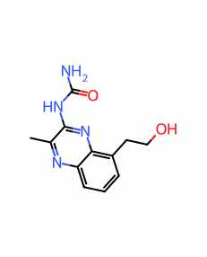 Cc1nc2cccc(CCO)c2nc1NC(N)=O